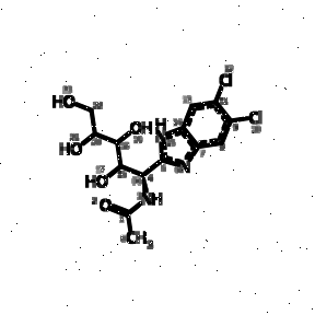 CC(=O)N[C@H](c1nc2cc(Cl)c(Cl)cc2[nH]1)C(O)C(O)C(O)CO